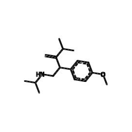 C=C(C(C)C)C(CNC(C)C)c1ccc(OC)cc1